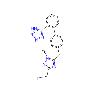 CCn1nc(CC(C)C)nc1Cc1ccc(-c2ccccc2-c2nnn[nH]2)cc1